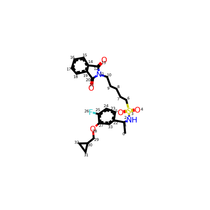 CC(NS(=O)(=O)CCCCCN1C(=O)c2ccccc2C1=O)c1ccc(F)c(OCC2CC2)c1